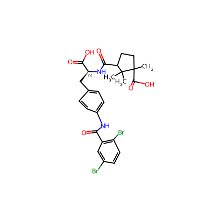 CC1(C(=O)O)CCC(C(=O)N[C@@H](Cc2ccc(NC(=O)c3cc(Br)ccc3Br)cc2)C(=O)O)C1(C)C